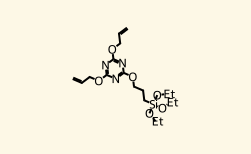 C=CCOc1nc(OCC=C)nc(OCCC[Si](OCC)(OCC)OCC)n1